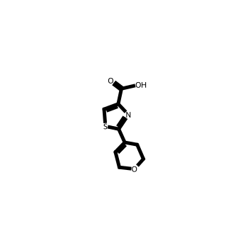 O=C(O)c1csc(C2=CCOCC2)n1